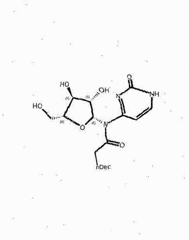 CCCCCCCCCCCC(=O)N(c1cc[nH]c(=O)n1)[C@@H]1O[C@H](CO)[C@@H](O)[C@@H]1O